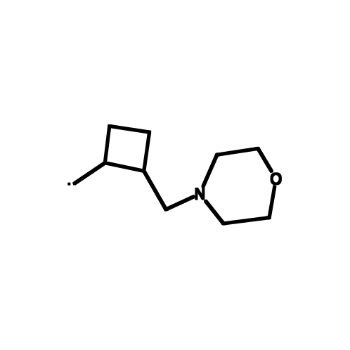 [CH2]C1CCC1CN1CCOCC1